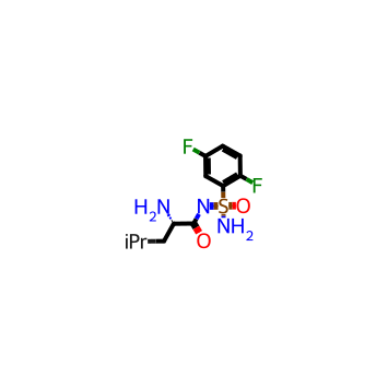 CC(C)C[C@H](N)C(=O)N=S(N)(=O)c1cc(F)ccc1F